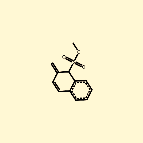 C=C1C=Cc2ccccc2C1S(=O)(=O)OC